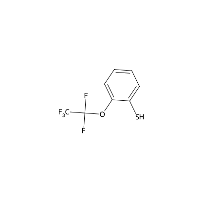 FC(F)(F)C(F)(F)Oc1ccccc1S